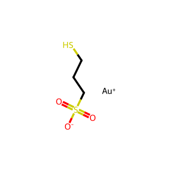 O=S(=O)([O-])CCCS.[Au+]